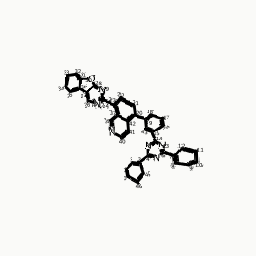 c1ccc(-c2nc(-c3ccccc3)nc(-c3cccc(-c4ccc(-c5ncc6c(n5)oc5ccccc56)c5cnccc45)c3)n2)cc1